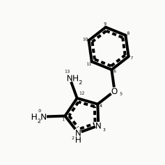 Nc1[nH]nc(Oc2ccccc2)c1N